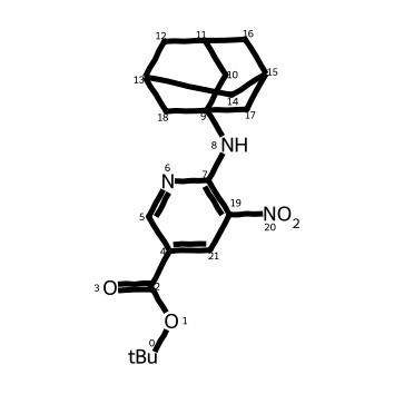 CC(C)(C)OC(=O)c1cnc(NC23CC4CC(CC(C4)C2)C3)c([N+](=O)[O-])c1